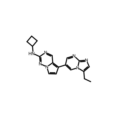 CCc1cnc2ncc(-c3ccn4nc(NC5CCC5)ncc34)cn12